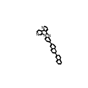 C1=CC2CC(c3ccc4ccccc4c3)=CC=C2C=C1c1ccc2c(c1)nc1c3cccnc3c3ccncc3n21